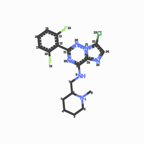 CN1CCCCC1CNc1nc(-c2c(F)cccc2F)nn2c(Cl)cnc12